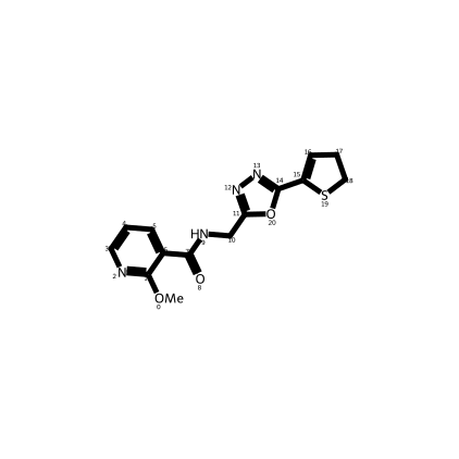 COc1ncccc1C(=O)NCc1nnc(C2=CCCS2)o1